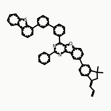 C=C/C=C1\CC(C)(C)c2cc(-c3ccc4oc5c(-c6cccc(-c7cccc(-c8cccc9c8sc8ccccc89)c7)c6)nc(-c6ccccc6)nc5c4c3)ccc21